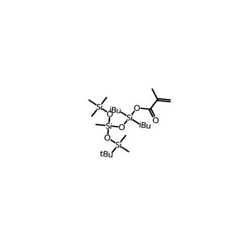 C=C(C)C(=O)O[Si](O[Si](C)(O[Si](C)(C)C)O[Si](C)(C)C(C)(C)C)(C(C)CC)C(C)CC